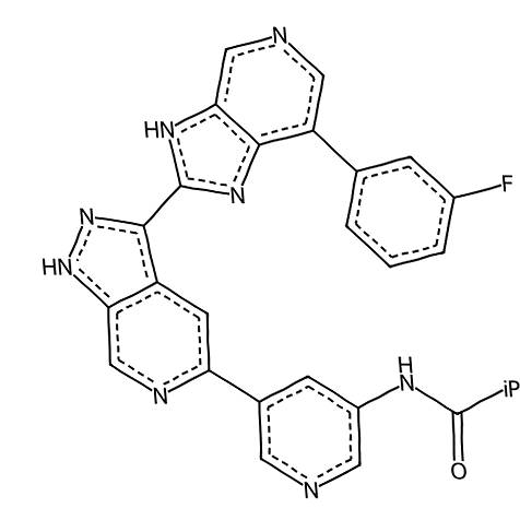 CC(C)C(=O)Nc1cncc(-c2cc3c(-c4nc5c(-c6cccc(F)c6)cncc5[nH]4)n[nH]c3cn2)c1